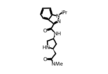 CNC(=O)C[C@@H]1C[C@H](NC(=O)c2nn(C(C)C)c3ccccc23)CN1